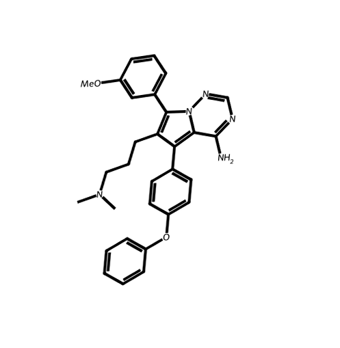 COc1cccc(-c2c(CCCN(C)C)c(-c3ccc(Oc4ccccc4)cc3)c3c(N)ncnn23)c1